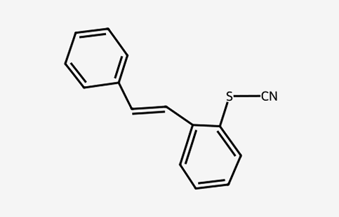 N#CSc1ccccc1C=Cc1ccccc1